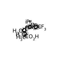 Cc1cc(CN2CCN(c3ccc(C(F)(F)F)cn3)[C@H](CC(C)C)C2)cc(CC(C)(C)C(=O)O)c1